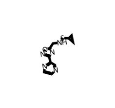 c1cnc(-c2noc(CNSC3CC3)n2)cn1